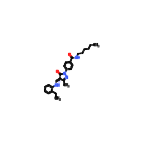 CCCCCCNC(=O)c1ccc(N2N=C(C)/C(=C\Nc3ccccc3CC)C2=O)cc1